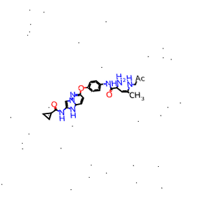 CC(=O)CN/C(C)=C\C(N)C(=O)Nc1ccc(OC2=NN3C=C(NC(=O)C4CC4)NC3C=C2)cc1